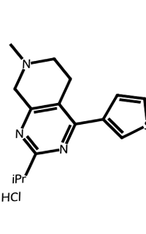 CC(C)c1nc2c(c(-c3ccsc3)n1)CCN(C)C2.Cl